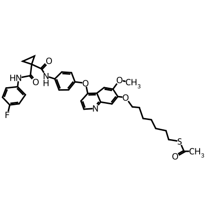 COc1cc2c(Oc3ccc(NC(=O)C4(C(=O)Nc5ccc(F)cc5)CC4)cc3)ccnc2cc1OCCCCCCCSC(C)=O